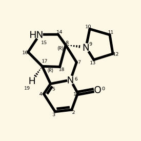 O=c1cccc2n1C[C@]1(N3CCCC3)CNC[C@H]2C1